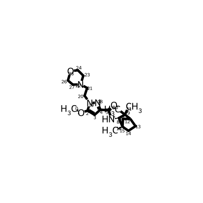 COc1cc(C(=O)N[C@@H]2C(C)(C)C3CC[C@@]2(C)C3)nn1CCN1CCOCC1